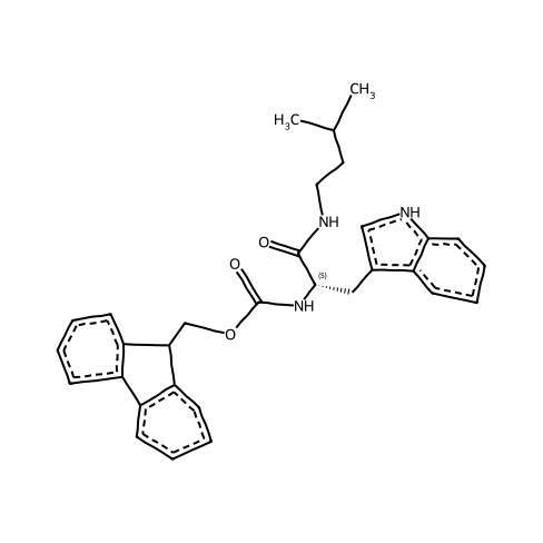 CC(C)CCNC(=O)[C@H](Cc1c[nH]c2ccccc12)NC(=O)OCC1c2ccccc2-c2ccccc21